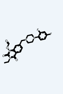 CCn1c(=O)c2ccc(CN3CCN(c4ccc(F)cc4F)CC3)cc2n(OC=O)c1=O